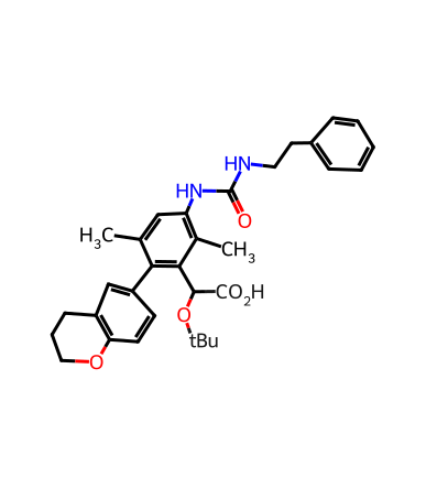 Cc1cc(NC(=O)NCCc2ccccc2)c(C)c(C(OC(C)(C)C)C(=O)O)c1-c1ccc2c(c1)CCCO2